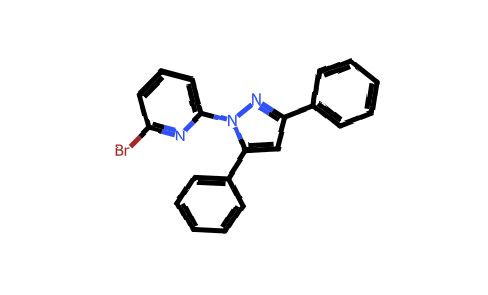 Brc1cccc(-n2nc(-c3ccccc3)cc2-c2ccccc2)n1